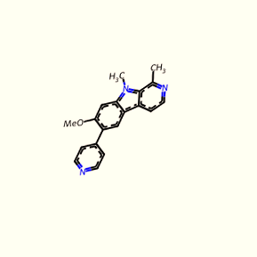 COc1cc2c(cc1-c1ccncc1)c1ccnc(C)c1n2C